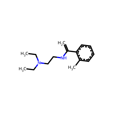 C=C(NCCN(CC)CC)c1ccccc1C